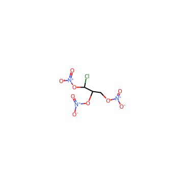 O=[N+]([O-])OCC(O[N+](=O)[O-])C(Cl)O[N+](=O)[O-]